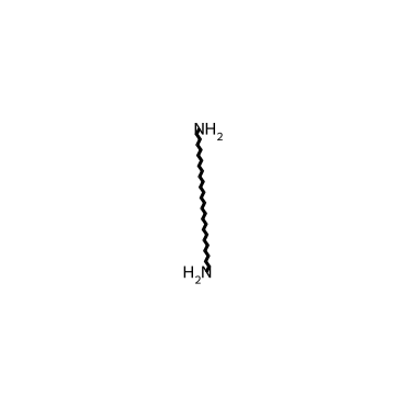 NCCCCCCCCCCCCCCCCCCCCCCCCCCN